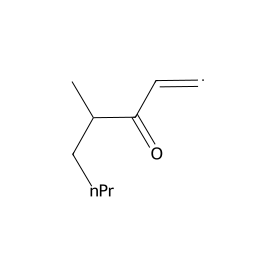 [CH]=CC(=O)C(C)CCCC